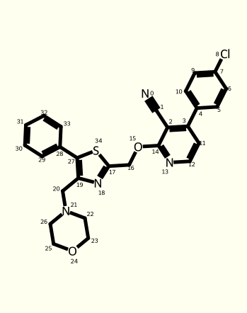 N#Cc1c(-c2ccc(Cl)cc2)ccnc1OCc1nc(CN2CCOCC2)c(-c2ccccc2)s1